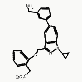 CCOC(=O)Cc1ccccc1OCc1nn(C2CC2)c2ccc(-c3cccc(CN)c3)cc12